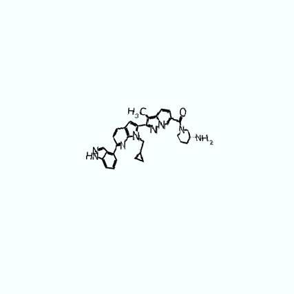 Cc1c(-c2cc3ccc(-c4cccc5[nH]ncc45)nc3n2CC2CC2)nn2cc(C(=O)N3CCC[C@@H](N)C3)ccc12